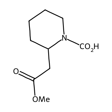 COC(=O)CC1CCCCN1C(=O)O